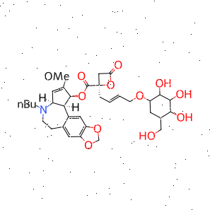 CCCCN1CCc2cc3c(cc2[C@@H]2[C@H](OC(=O)[C@@]4(C/C=C/COC5CC(CO)C(O)C(O)C5O)CC(=O)O4)C(OC)=C[C@@H]21)OCO3